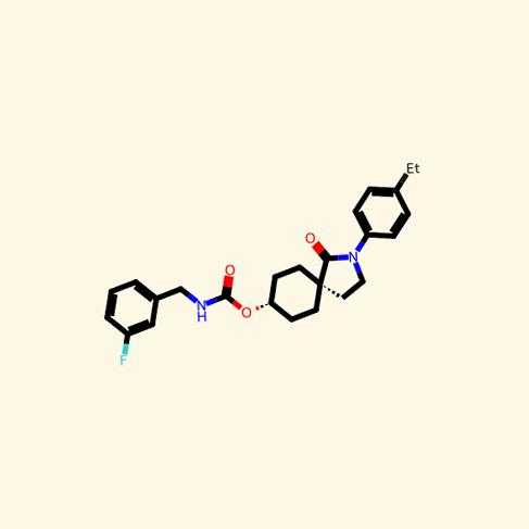 CCc1ccc(N2CC[C@]3(CC[C@@H](OC(=O)NCc4cccc(F)c4)CC3)C2=O)cc1